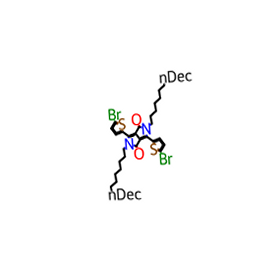 CCCCCCCCCCCCCCCCCN1C(=O)C2=C(c3ccc(Br)s3)N(CCCCCCCCCCCCCCCCC)C(=O)C2=C1c1ccc(Br)s1